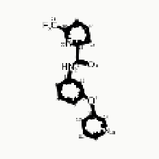 O=C(Nc1cccc(Oc2cccnc2)c1)c1cccc(C(F)(F)F)n1